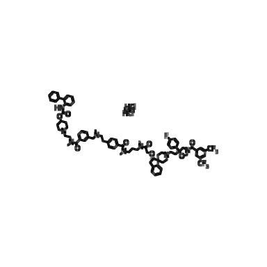 CN(CCc1ccc(C(=O)N(C)CCCN(C)C(=O)CO[C@H]2Cc3ccccc3C23CCN(CC[C@@]2(c4ccc(F)cc4)CN(C(=O)c4cc(C(F)(F)F)cc(C(F)(F)F)c4)CO2)CC3)cc1)Cc1cccc(C(=O)N(C)CCN2CCC(OC(=O)Nc3ccccc3-c3ccccc3)CC2)c1.Cl.Cl.Cl